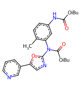 Cc1ccc(NC(=O)OCC(C)C)cc1N(C(=O)OCC(C)C)c1ncc(-c2cccnc2)o1